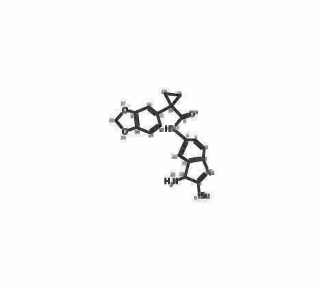 CC(C)(C)C1=Nc2ccc(NC(=O)C3(c4ccc5c(c4)OCO5)CC3)cc2C1N